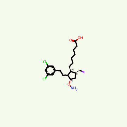 NO[C@@H]1C[C@@H](CI)[C@H](CCCCCCC(=O)O)C1CCc1cc(Cl)cc(Cl)c1